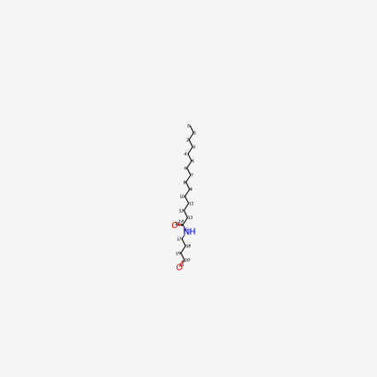 CCCCCCCCCCCCCCC(=O)NCCCC=O